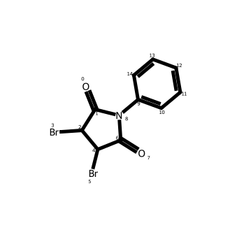 O=C1C(Br)C(Br)C(=O)N1c1ccccc1